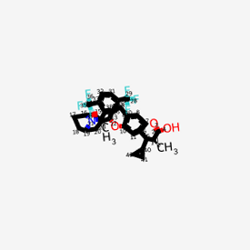 C[C@H](C(=O)O)C(c1ccc2c(c1)OC(C1CC3CCC(C1)N3[C@H](C)c1cc(C(F)(F)F)ccc1C(F)(F)F)CC2)C1CC1